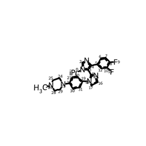 CC(C)n1cnc(-c2ccc(F)c(F)c2)c1-c1nccn1-c1ccc(N2CCN(C)CC2)cc1